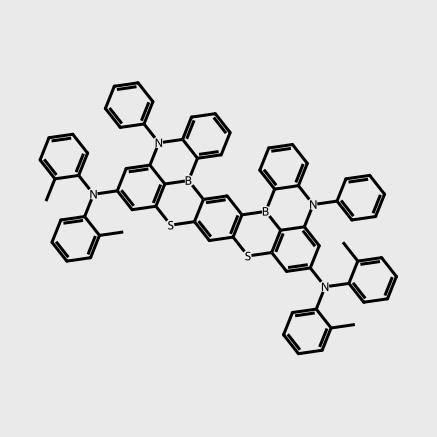 Cc1ccccc1N(c1cc2c3c(c1)N(c1ccccc1)c1ccccc1B3c1cc3c(cc1S2)Sc1cc(N(c2ccccc2C)c2ccccc2C)cc2c1B3c1ccccc1N2c1ccccc1)c1ccccc1C